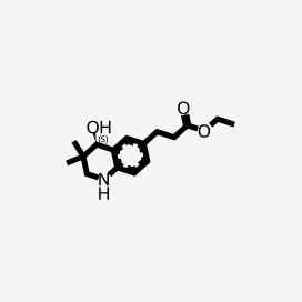 CCOC(=O)CCc1ccc2c(c1)[C@@H](O)C(C)(C)CN2